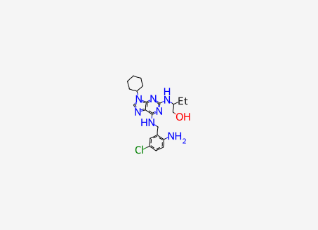 CCC(CO)Nc1nc(NCc2cc(Cl)ccc2N)c2ncn(C3CCCCC3)c2n1